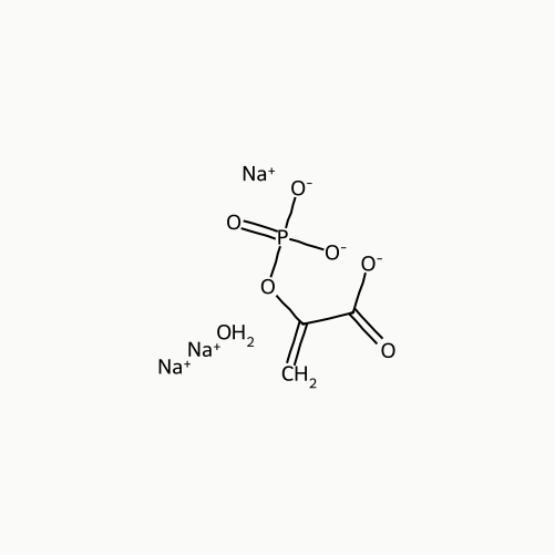 C=C(OP(=O)([O-])[O-])C(=O)[O-].O.[Na+].[Na+].[Na+]